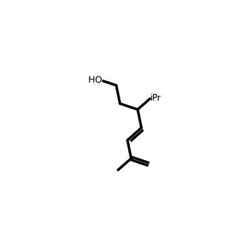 C=C(C)/C=C/C(CCO)C(C)C